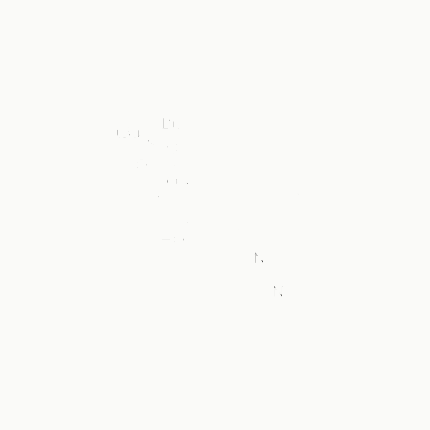 CN(C)C=Nc1ccc(C2(O)CC3(C)OC(C)(C2)C2O[Si](C(C)(C)C)(C(C)(C)C)OC23)cc1C1=CCC(C)(C)CC1